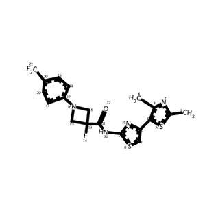 Cc1nc(C)c(-c2csc(NC(=O)C3(F)CN(c4ccc(C(F)(F)F)cc4)C3)n2)s1